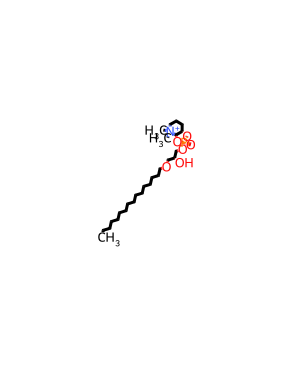 CCCCCCCCCCCCCCCCOCC(O)COP1(=O)OC2CCC[N+](C)(C)C2O1